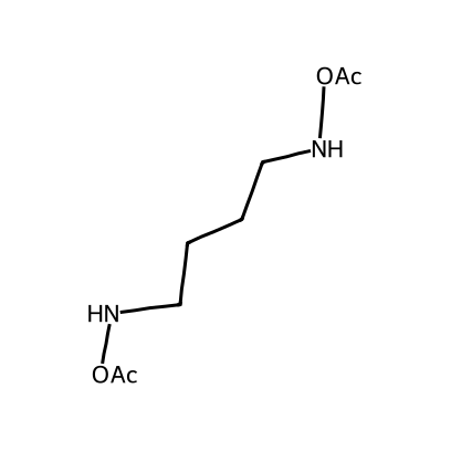 CC(=O)ONCCCCNOC(C)=O